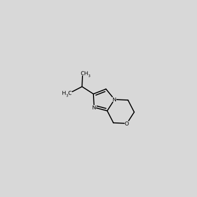 CC(C)c1cn2c(n1)COCC2